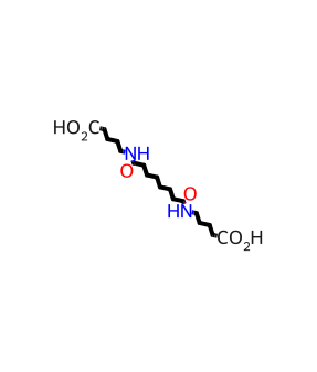 O=C(O)CCCCNC(=O)CCCCCCC(=O)NCCCCC(=O)O